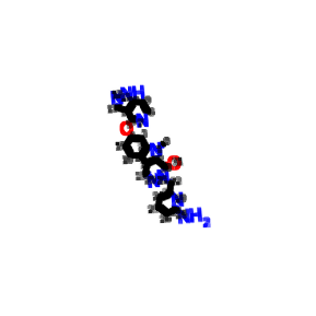 Cn1c2cc(Oc3nccc4[nH]ncc34)ccc2c2cnn(Cc3cccc(N)n3)c(=O)c21